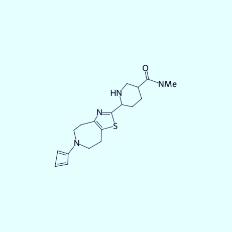 CNC(=O)C1CCC(c2nc3c(s2)CCN(C2=CC=C2)CC3)NC1